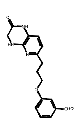 O=Cc1cccc(OCCCc2ccc3c(n2)NCC(=O)N3)c1